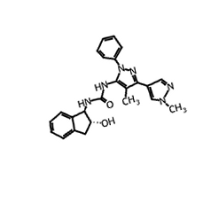 Cc1c(-c2cnn(C)c2)nn(-c2ccccc2)c1NC(=O)N[C@@H]1c2ccccc2C[C@H]1O